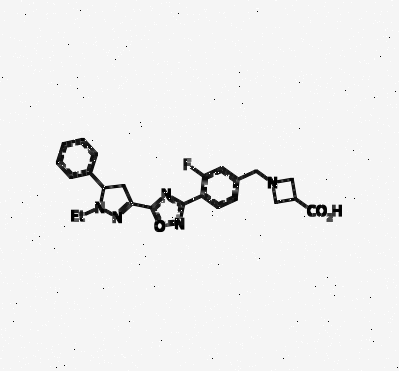 CCN1N=C(c2nc(-c3ccc(CN4CC(C(=O)O)C4)cc3F)no2)CC1c1ccccc1